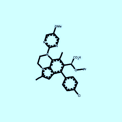 COc1cnc(N2CCn3c(C)cc4c(-c5ccc(Cl)cc5)c([C@H](OC(C)C)C(=O)O)c(C)c2c43)nc1